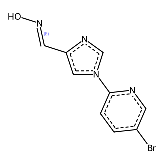 O/N=C/c1cn(-c2ccc(Br)cn2)cn1